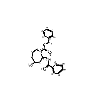 O=C(NC1CC(O)CCCN1C(=O)OCc1ccccc1)c1ccccn1